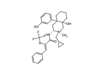 C[N@@+]1(CC2CC2)CC2(O)CCCCC2(c2cccc(O)c2)C[C@H]1NC(=O)C(=Cc1ccccc1)OC(F)(F)F